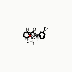 CC1(C)[C@@H]2CC[C@@]1(C)c1[nH]n(-c3cccc(Br)c3)c(=O)c12